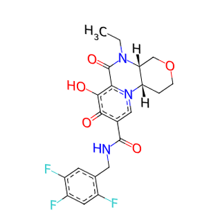 CCN1C(=O)c2c(O)c(=O)c(C(=O)NCc3cc(F)c(F)cc3F)cn2[C@H]2CCOC[C@H]21